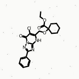 CCOC(=O)C1(OCc2[nH]c3nc(-c4ccccc4)nn3c(=O)c2Cl)CCCCC1